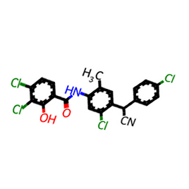 Cc1cc(C(C#N)c2ccc(Cl)cc2)c(Cl)cc1NC(=O)c1ccc(Cl)c(Cl)c1O